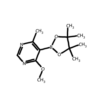 COc1ncnc(C)c1B1OC(C)(C)C(C)(C)O1